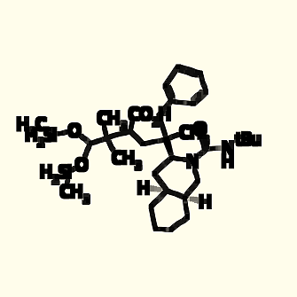 C[SiH2]OC(O[SiH2]C)C(C)(C)C(CC(C)(Cc1ccccc1)[C@@H]1C[C@@H]2CCCC[C@@H]2CN1C(=O)NC(C)(C)C)C(=O)O